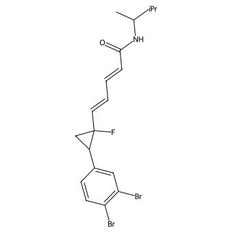 CC(C)C(C)NC(=O)/C=C/C=C/C1(F)CC1c1ccc(Br)c(Br)c1